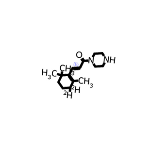 [2H]C1([2H])CCC(C)(C)C(/C=C/C(=O)N2CCNCC2)=C1C